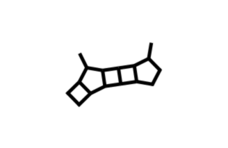 CC1CCC2C1C1C3C(C)C4CCC4C3C21